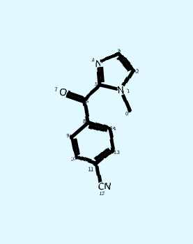 Cn1ccnc1C(=O)c1ccc(C#N)cc1